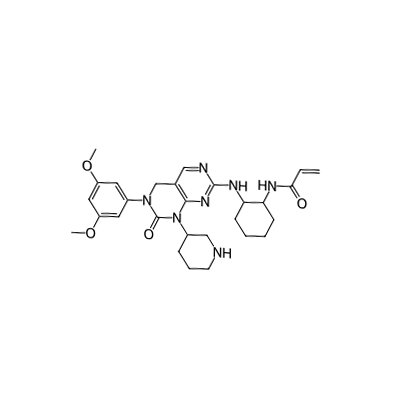 C=CC(=O)NC1CCCCC1Nc1ncc2c(n1)N(C1CCCNC1)C(=O)N(c1cc(OC)cc(OC)c1)C2